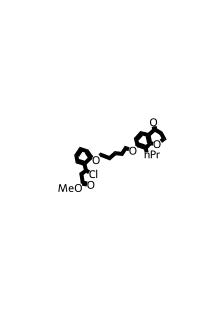 CCCc1c(OCCCCCOc2ccccc2C(Cl)CC(=O)OC)ccc2c1OCCC2=O